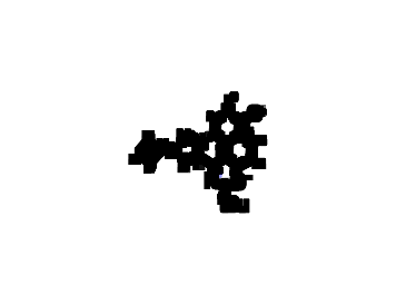 Cn1ccc2c(/C(=N\[S@+]([O-])C(C)(C)C)c3cn(C45CC(C4)C5)nn3)cccc2c1=O